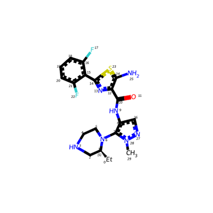 CC[C@H]1CNCCN1c1c(NC(=O)c2nc(-c3c(F)cccc3F)sc2N)cnn1C